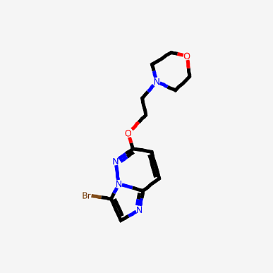 Brc1cnc2ccc(OCCN3CCOCC3)nn12